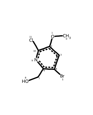 COc1cc(Br)c(CO)nc1Cl